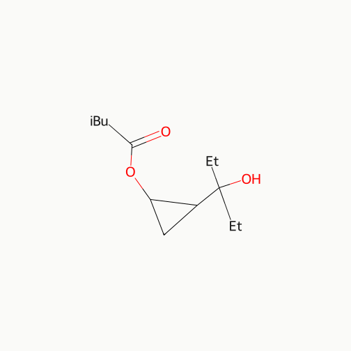 CCC(C)C(=O)OC1CC1C(O)(CC)CC